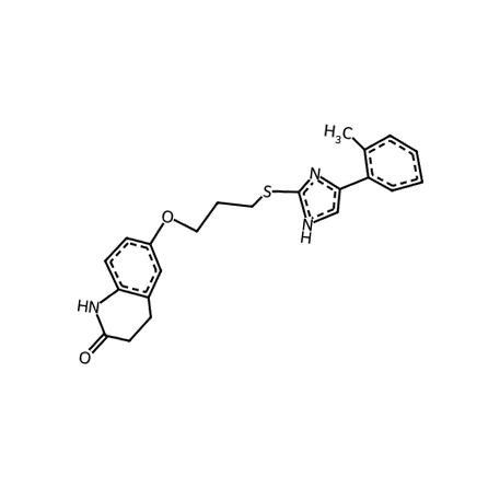 Cc1ccccc1-c1c[nH]c(SCCCOc2ccc3c(c2)CCC(=O)N3)n1